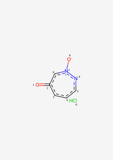 Cl.O=c1cccn[n+]([O-])c1